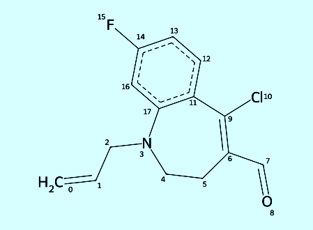 C=CCN1CCC(C=O)=C(Cl)c2ccc(F)cc21